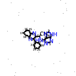 CC(Nc1ncnc2[nH]cnc12)c1nc2ccccc2nc1-c1ccccc1